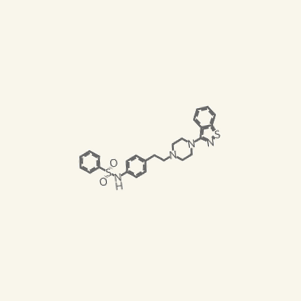 O=S(=O)(Nc1ccc(CCN2CCN(c3nsc4ccccc34)CC2)cc1)c1ccccc1